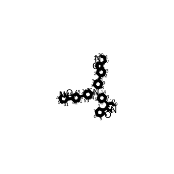 c1ccc2c(c1)oc1nccc(-c3ccc(N(c4ccc(-c5ccc6c(c5)oc5ncccc56)cc4)c4ccc(-c5ccc6c(c5)oc5ncccc56)cc4)cc3)c12